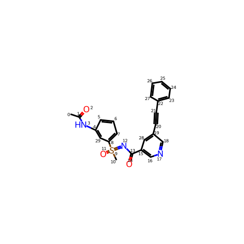 CC(=O)Nc1cccc(S(C)(=O)=NC(=O)c2cncc(C#Cc3ccccc3)c2)c1